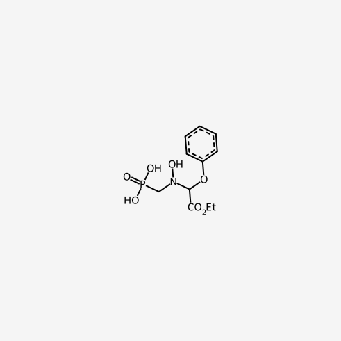 CCOC(=O)C(Oc1ccccc1)N(O)CP(=O)(O)O